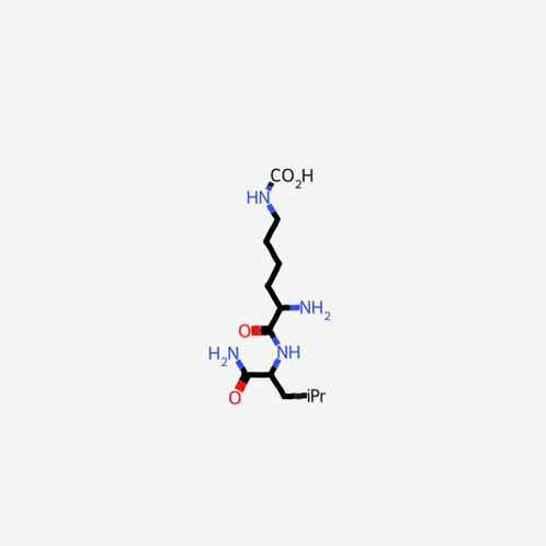 CC(C)CC(NC(=O)C(N)CCCCNC(=O)O)C(N)=O